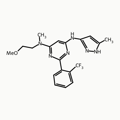 COCCN(C)c1cc(Nc2cc(C)[nH]n2)nc(-c2ccccc2C(F)(F)F)n1